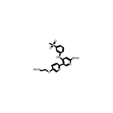 COCCOc1ccc(-c2cnc(NC(C)=O)cc2Nc2cccc(S(C)(=O)=O)c2)nc1